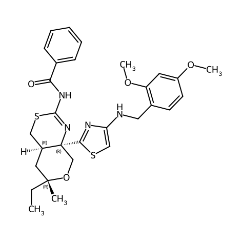 CC[C@]1(C)C[C@H]2CSC(NC(=O)c3ccccc3)=N[C@@]2(c2nc(NCc3ccc(OC)cc3OC)cs2)CO1